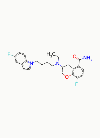 CCN(CCCCn1ccc2cc(F)ccc21)C1COc2c(F)ccc(C(N)=O)c2C1